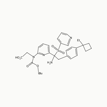 CCC1(c2ccc(CC(N)(c3cccc(N(CC(=O)O)C(=O)OC(C)(C)C)n3)S(=O)(=O)c3cccnc3)cc2)CCC1